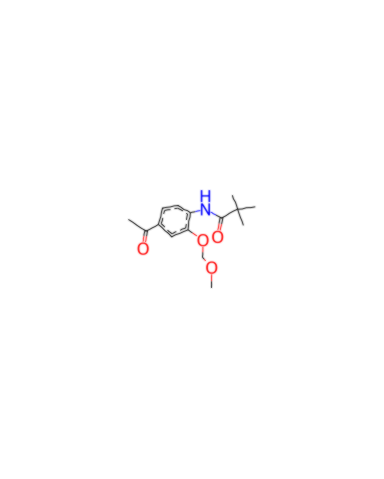 COCOc1cc(C(C)=O)ccc1NC(=O)C(C)(C)C